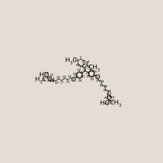 CC1CC2CC(C)C(=C(c3ccc(OCCCCCCN4CC(C)(O)C4)cc3)c3ccc(OCCCCCCN4CC(C)(O)C4)cc3)C(C1)C2